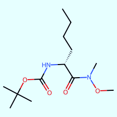 CCCC[C@@H](NC(=O)OC(C)(C)C)C(=O)N(C)OC